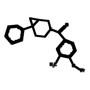 Cc1cc(C(=O)N2CCC3(c4ccccc4)CC3C2)ccc1OC(C)C